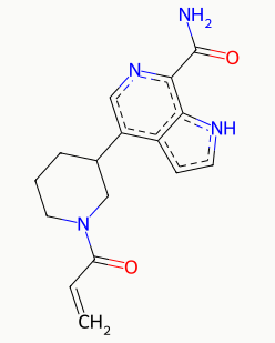 C=CC(=O)N1CCCC(c2cnc(C(N)=O)c3[nH]ccc23)C1